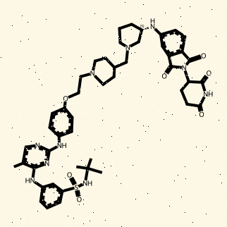 Cc1cnc(Nc2ccc(OCCN3CCC(CN4CCC[C@H](Nc5ccc6c(c5)C(=O)N(C5CCC(=O)NC5=O)C6=O)C4)CC3)cc2)nc1Nc1cccc(S(=O)(=O)NC(C)(C)C)c1